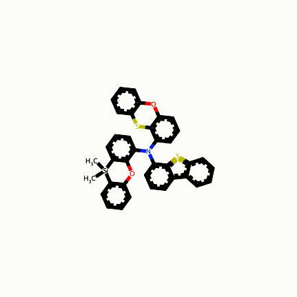 C[Si]1(C)c2ccccc2Oc2c(N(c3cccc4c3Sc3ccccc3O4)c3cccc4c3sc3ccccc34)cccc21